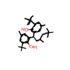 Cc1cc(C(CC(C)CC(C)(C)C)c2cc(C)cc(C(C)(C)C)c2O)c(O)c(C(C)(C)C)c1